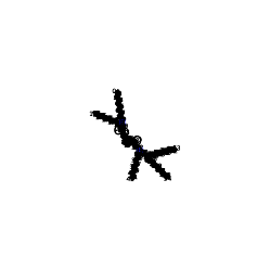 CCCCCCCCC/C=C(\CCCCCCCCC)CC(=O)OCC1CCN(C(=O)C/C=C(\CCCCCCCCC)CCN(CCCCCCCCC)CCCCCCCCC)C1